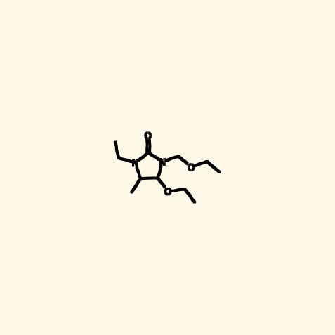 CCOCN1C(=O)N(CC)C(C)C1OCC